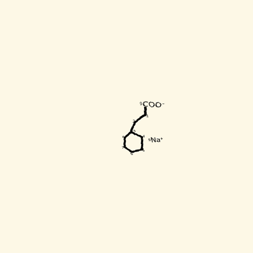 O=C([O-])CCC1CCCCC1.[Na+]